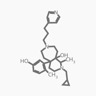 Cc1ccc(O)cc1C12CCN(CCCc3ccncc3)CCC1(O)C(C)N(CC1CC1)CC2